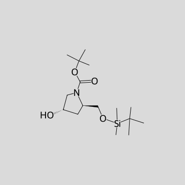 CC(C)(C)OC(=O)N1C[C@@H](O)C[C@@H]1CO[Si](C)(C)C(C)(C)C